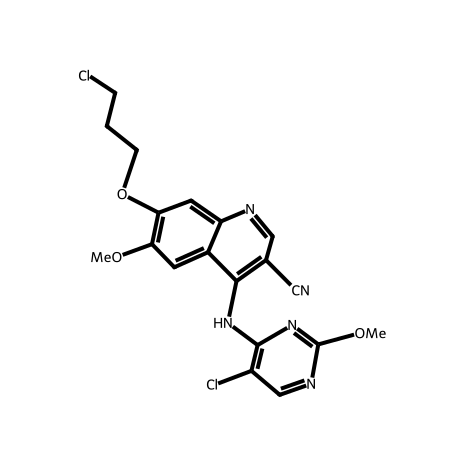 COc1ncc(Cl)c(Nc2c(C#N)cnc3cc(OCCCCl)c(OC)cc23)n1